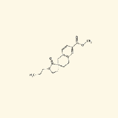 CCCN1CC[C@]2(CCc3cc(C(=O)OC)ccc3C2)C1=O